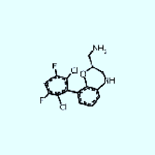 NC[C@H]1CNc2cccc(-c3c(Cl)c(F)cc(F)c3Cl)c2O1